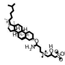 CC(C)CCC[C@@H](C)[C@H]1CC[C@H]2[C@@H]3CC=C4C[C@@H](OC(N)CC[N+](C)(C)CC(O)CS(=O)(=O)O)CC[C@]4(C)[C@H]3CC[C@]12C